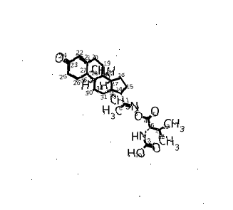 C/C(=N\OC(=O)[C@@H](NC(=O)O)C(C)C)[C@H]1CC[C@H]2[C@@H]3CCC4=CC(=O)CC[C@]4(C)[C@H]3CC[C@]12C